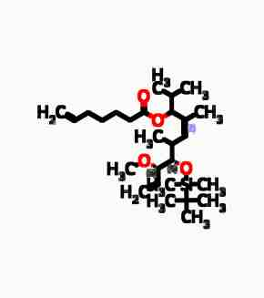 C=CCCCCC(=O)OC(/C(C)=C\C(C)[C@H](O[Si](C)(C)C(C)(C)C)[C@H](C=C)OC)C(C)C